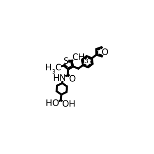 Cc1sc(C)c(C(=O)NC2CCC(C(O)O)CC2)c1Cc1ccc(-c2ccoc2)cc1